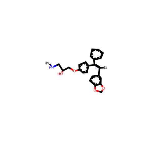 CC/C(=C(\c1ccccc1)c1ccc(OCC(O)CNC(C)C)cc1)c1ccc2c(c1)OCO2